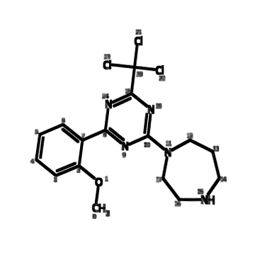 COc1ccccc1-c1nc(N2CCCNCC2)nc(C(Cl)(Cl)Cl)n1